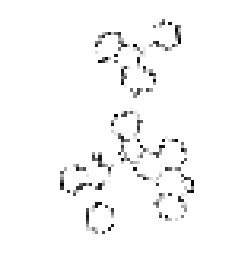 c1ccc(-c2cc(-n3c4ccc(-c5ccc6c(c5)c5ccccc5n6-c5ccccc5)cc4c4c5cccc6c5c(cc43)-c3ccccc3O6)nc3ccccc23)cc1